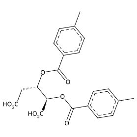 Cc1ccc(C(=O)O[C@@H](CC(=O)O)[C@@H](OC(=O)c2ccc(C)cc2)C(=O)O)cc1